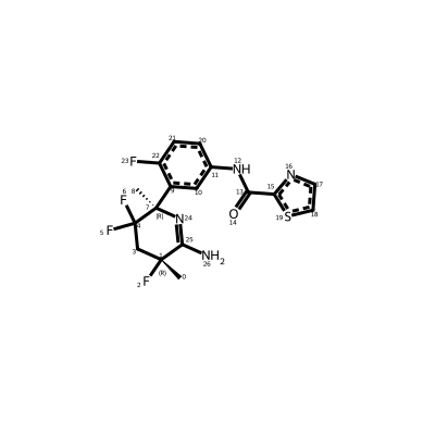 C[C@@]1(F)CC(F)(F)[C@@](C)(c2cc(NC(=O)c3nccs3)ccc2F)N=C1N